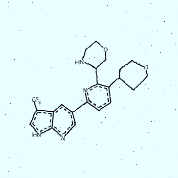 FC(F)(F)c1c[nH]c2ncc(-c3ccc(C4CCOCC4)c(C4COCCN4)n3)cc12